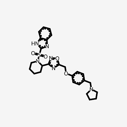 O=S(=O)(c1nc2ccccc2[nH]1)N1CCCCC1c1noc(COc2ccc(CN3CCCC3)cc2)n1